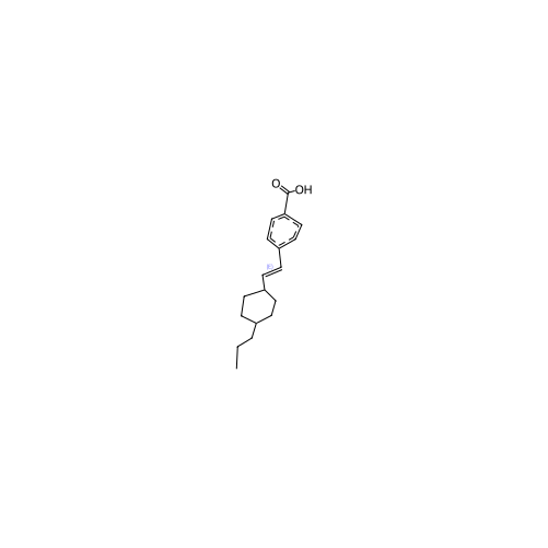 CCCC1CCC(/C=C/c2ccc(C(=O)O)cc2)CC1